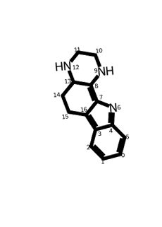 c1ccc2c(c1)=NC1=C3NCCNC3CCC=21